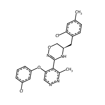 Cc1ccc(C[C@@H]2CON=C(c3c(Oc4cccc(Cl)c4)cnnc3C)N2)c(Cl)c1